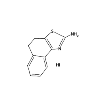 I.Nc1nc2c(s1)CCc1ccccc1-2